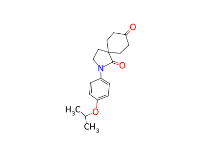 CC(C)Oc1ccc(N2CCC3(CCC(=O)CC3)C2=O)cc1